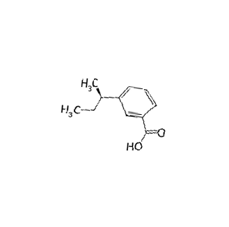 CC[C@@H](C)c1cccc(C(=O)O)c1